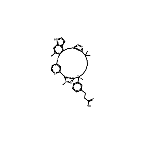 Cn1nc2nc1-c1cc(ccn1)Sc1c(F)cc3[nH]ccc3c1Cn1cc(nn1)C(C)(C)CCCC[C@]2(C)c1cccc(CCC(=O)O)c1